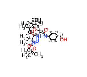 CC(C)[C@H](NC(=O)OC(C)(C)C)C(=O)N[C@@H](CO[Si](C(C)C)(C(C)C)C(C)C)C(=O)Nc1ccc(CO)cc1